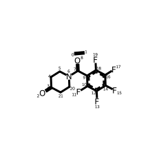 C=C.O=C1CCN(C(=O)c2c(F)c(F)c(F)c(F)c2F)CC1